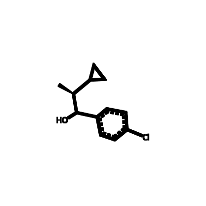 C[C@@H](C1CC1)C(O)c1ccc(Cl)cc1